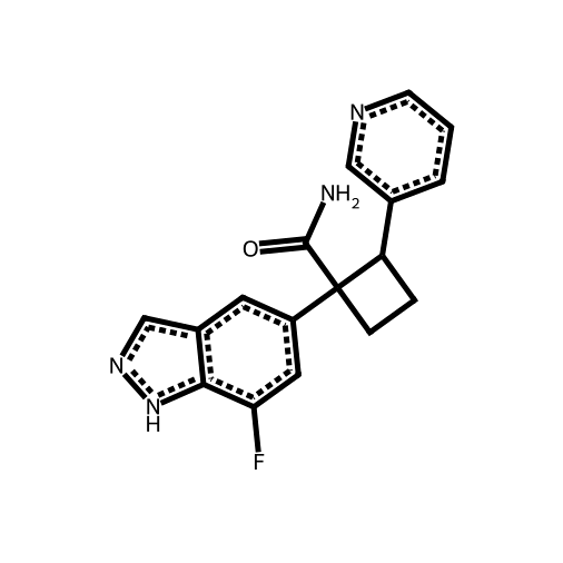 NC(=O)C1(c2cc(F)c3[nH]ncc3c2)CCC1c1cccnc1